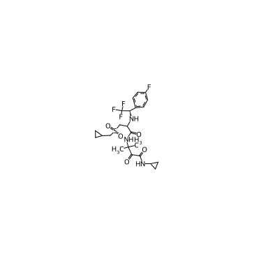 CC(C)(NC(=O)C(CS(=O)(=O)CC1CC1)N[C@H](c1ccc(F)cc1)C(F)(F)F)C(=O)C(=O)NC1CC1